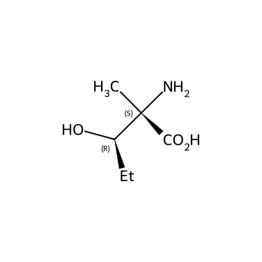 CC[C@@H](O)[C@](C)(N)C(=O)O